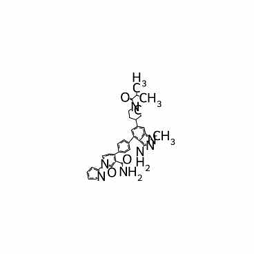 CC(C)C(=O)N1CCC(c2cc(-c3ccc(-c4ccn(-c5ccccn5)c(=O)c4C(N)=O)cc3)c3c(N)nn(C)c3c2)CC1